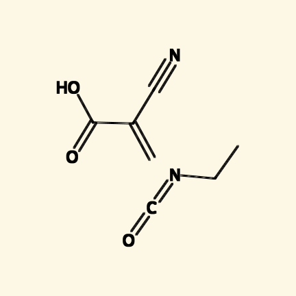 C=C(C#N)C(=O)O.CCN=C=O